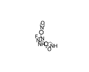 Nc1nc(F)c(-c2ccc(N3CCOCC3)cc2)nc1-c1ccc2c(c1)CCNC2=O